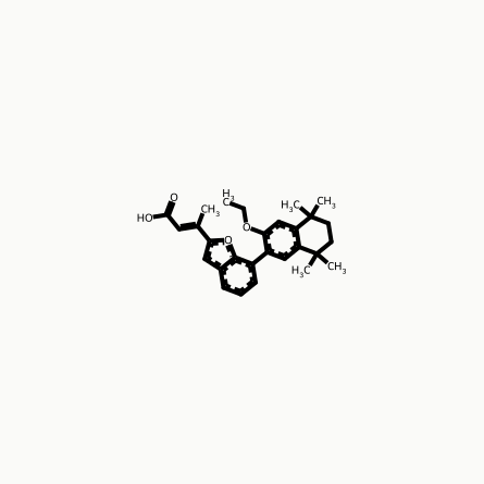 CCOc1cc2c(cc1-c1cccc3cc(/C(C)=C/C(=O)O)oc13)C(C)(C)CCC2(C)C